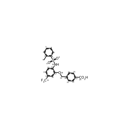 Cc1ccccc1S(=O)(=O)Nc1ccc(C(F)(F)F)cc1OCc1ccc(C(=O)O)cc1